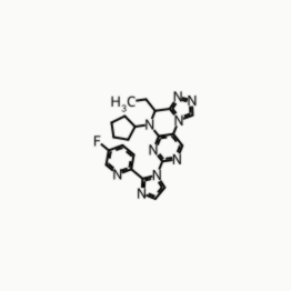 CCC1c2nncn2-c2cnc(-n3ccnc3-c3ccc(F)cn3)nc2N1C1CCCC1